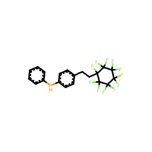 FC1(F)C(F)(F)C(F)(F)C(F)(CCc2ccc(Pc3ccccc3)cc2)C(F)(F)C1(F)F